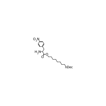 CCCCCCCCCCCCCCCCCCOC(=O)C(N)Cc1ccc([N+](=O)[O-])cc1